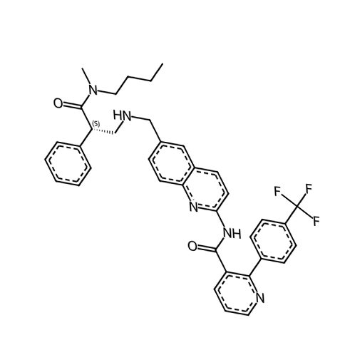 CCCCN(C)C(=O)[C@H](CNCc1ccc2nc(NC(=O)c3cccnc3-c3ccc(C(F)(F)F)cc3)ccc2c1)c1ccccc1